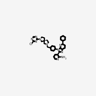 Nc1ncccc1-c1nc2ccc(-c3ccccc3)nc2n1-c1ccc(CN2CC[C@@]3(CCN(c4ncnc(Cl)n4)C3)C2)cc1